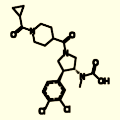 CN(C(=O)O)[C@H]1CN(C(=O)C2CCN(C(=O)C3CC3)CC2)C[C@@H]1c1ccc(Cl)c(Cl)c1